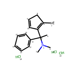 CN(C)C(C)(C1=[C]([Hf])CC=C1)c1ccccc1.Cl.Cl.Cl